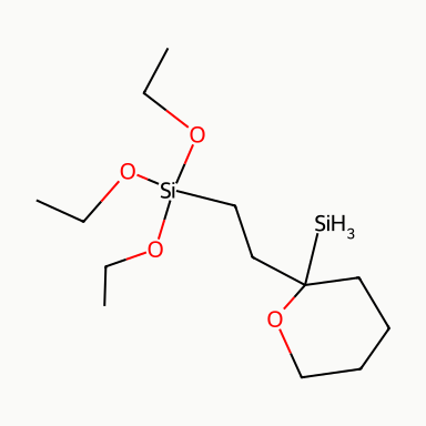 CCO[Si](CCC1([SiH3])CCCCO1)(OCC)OCC